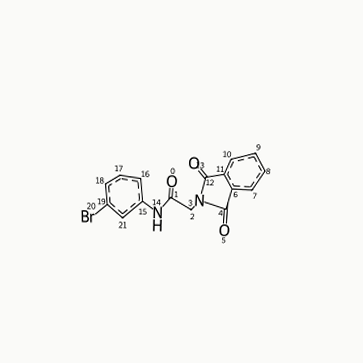 O=C(CN1C(=O)c2ccccc2C1=O)Nc1cccc(Br)c1